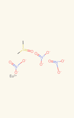 CS(C)=O.O=[N+]([O-])[O-].O=[N+]([O-])[O-].O=[N+]([O-])[O-].[Eu+3]